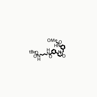 COCC(=O)Nc1cccc(Cn2nc(-c3cccc(C(=O)NCCCCNC(=O)OC(C)(C)C)c3)ccc2=O)c1